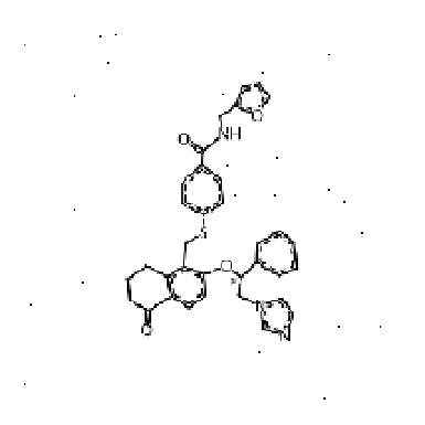 O=C(NCc1ccco1)c1ccc(SCc2c(O[C@H](Cn3ccnc3)c3ccccc3)ccc3c2CCCC3=O)cc1